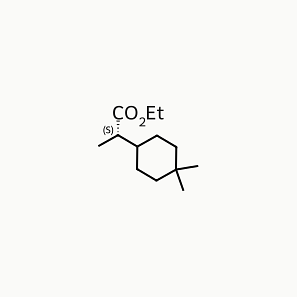 CCOC(=O)[C@@H](C)C1CCC(C)(C)CC1